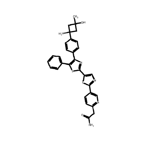 CC1(O)CC(N)(c2ccc(-c3nc(-c4cnc(-c5ccc(CC(N)=O)nc5)s4)sc3-c3ccccc3)cc2)C1